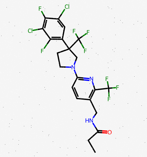 CCC(=O)NCc1ccc(N2CCC(c3cc(Cl)c(F)c(Cl)c3F)(C(F)(F)F)C2)nc1C(F)(F)F